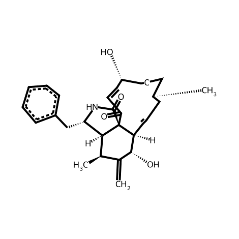 C=C1[C@@H](C)[C@H]2[C@H](Cc3ccccc3)NC(=O)[C@]23C(=O)/C=C/[C@H](O)CCC[C@@H](C)C/C=C/[C@H]3[C@@H]1O